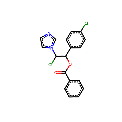 O=C(OC(c1ccc(Cl)cc1)C(Cl)n1ccnc1)c1ccccc1